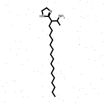 CCCCCCCCCCCCCCCCC(C1=NCCN1)C(C)N